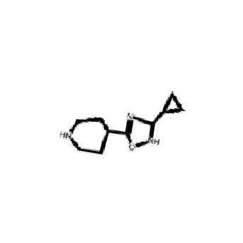 C1CC(C2=NC(C3CC3)NO2)CCN1